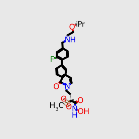 CC(C)OCCNCc1ccc(-c2ccc3c(=O)n(CC[C@H](C(=O)NO)S(C)(=O)=O)ccc3c2)c(F)c1